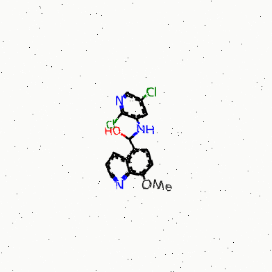 COc1ccc(C(O)Nc2cc(Cl)cnc2Cl)c2cccnc12